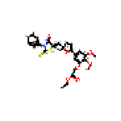 CCOC(=O)COc1cc(C2=CCC(C)(/C=C3\SC(=S)N(C4CC5CCC4C5)C3=O)O2)cc(OC)c1OC